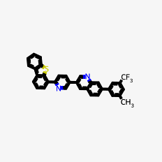 Cc1cc(-c2ccc3cc(-c4ccc(-c5cccc6c5sc5ccccc56)nc4)cnc3c2)cc(C(F)(F)F)c1